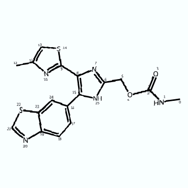 CNC(=O)OCc1nc(-c2nc(C)cs2)c(-c2ccc3ncsc3c2)[nH]1